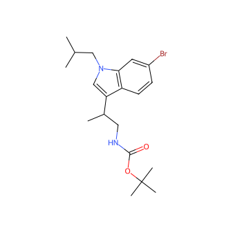 CC(C)Cn1cc(C(C)CNC(=O)OC(C)(C)C)c2ccc(Br)cc21